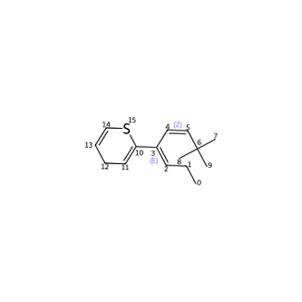 CC/C=C(\C=C/C(C)(C)C)C1=CCC=CS1